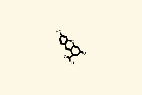 O=C(O)c1cc(=O)cc2oc3cc(O)ccc3cc1-2